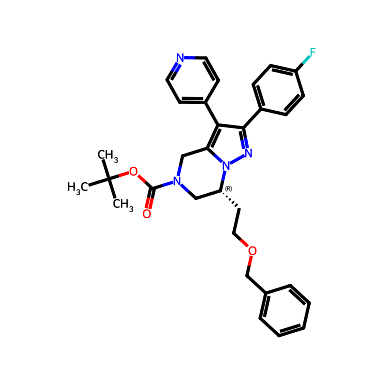 CC(C)(C)OC(=O)N1Cc2c(-c3ccncc3)c(-c3ccc(F)cc3)nn2[C@H](CCOCc2ccccc2)C1